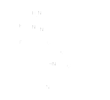 N#Cc1cc(-c2ccccc2)oc1NC(=O)COc1cc(C(F)(F)F)nn1-c1ccccc1N